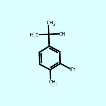 Cc1ccc(C(C)(C)C#N)cc1C(C)C